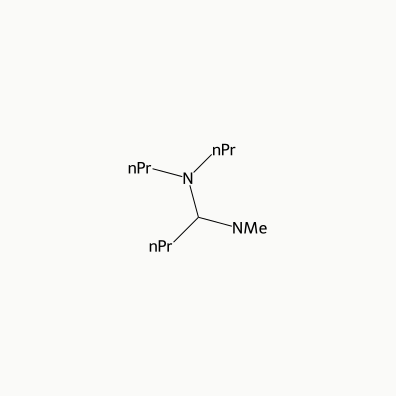 CCCC(NC)N(CCC)CCC